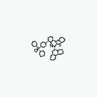 O=P(c1ccccc1)(c1ccccc1)c1ccc(-c2cccc3c2nc(-c2cc4ccccc4c4ccccc24)c2sc4ccccc4c23)cc1